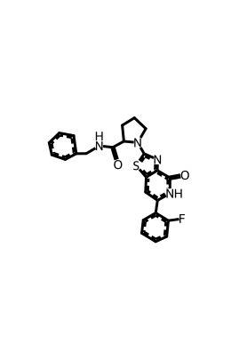 O=C(NCc1ccccc1)C1CCCN1c1nc2c(=O)[nH]c(-c3ccccc3F)cc2s1